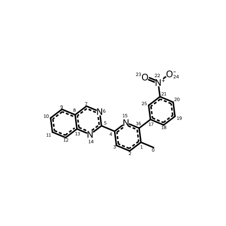 Cc1ccc(-c2ncc3ccccc3n2)nc1-c1cccc([N+](=O)[O-])c1